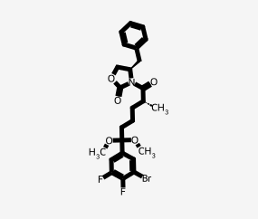 COC(CCC[C@@H](C)C(=O)N1C(=O)OC[C@H]1Cc1ccccc1)(OC)c1cc(F)c(F)c(Br)c1